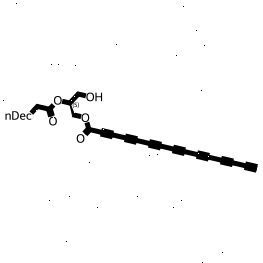 C#CC#CC#CC#CC#CC#CC#CC(=O)OC[C@H](CO)OC(=O)CCCCCCCCCCC